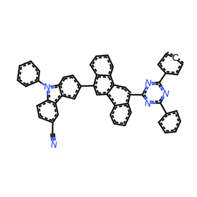 N#Cc1ccc2c(c1)c1cc(-c3cc4c5ccccc5c(-c5nc(-c6ccccc6)nc(-c6ccccc6)n5)cc4c4ccccc34)ccc1n2-c1ccccc1